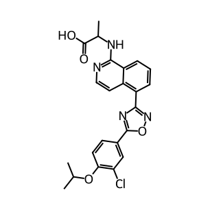 CC(C)Oc1ccc(-c2nc(-c3cccc4c(NC(C)C(=O)O)nccc34)no2)cc1Cl